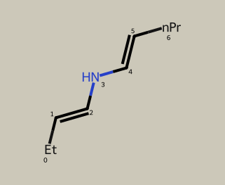 CCC=CNC=CCCC